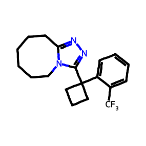 FC(F)(F)c1ccccc1C1(c2nnc3n2CCCCCC3)CCC1